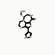 COC[C@@H]1CNC(=O)c2sc(-c3cn[nH]c3)c3c2N1CCO3